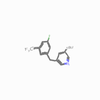 CC(C)(C)c1cncc(Cc2cc(F)cc(C(F)(F)F)c2)c1